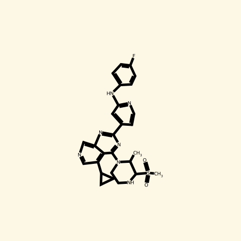 CC1C(S(C)(=O)=O)NCCN1c1nc(-c2ccnc(Nc3ccc(F)cc3)c2)nc2cncc(C3CC3)c12